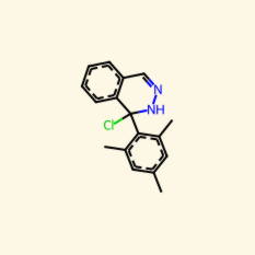 Cc1cc(C)c(C2(Cl)NN=Cc3ccccc32)c(C)c1